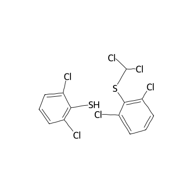 Clc1cccc(Cl)c1SC(Cl)Cl.Sc1c(Cl)cccc1Cl